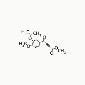 COC(=O)C#CC(=O)c1ccc(OC)c(OC(C)C)c1